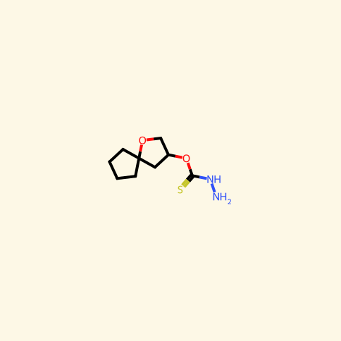 NNC(=S)OC1COC2(CCCC2)C1